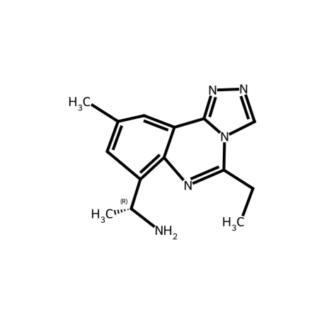 CCc1nc2c([C@@H](C)N)cc(C)cc2c2nncn12